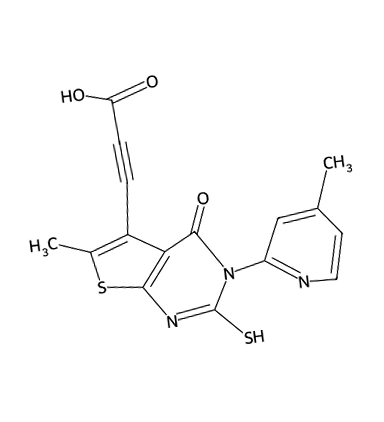 Cc1ccnc(-n2c(S)nc3sc(C)c(C#CC(=O)O)c3c2=O)c1